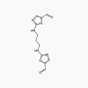 O=Cc1cnc(NCCCNc2ncc(C=O)s2)s1